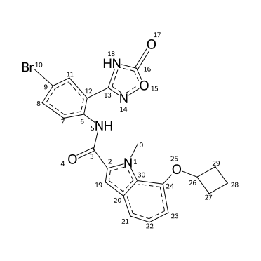 Cn1c(C(=O)Nc2ccc(Br)cc2-c2noc(=O)[nH]2)cc2cccc(OC3CCC3)c21